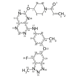 C=CC(=O)N1CCC(Oc2ncc3ncnc(Nc4ccc(Oc5cc(F)c6c(c5)nnn6C)c(C)c4)c3n2)CC1